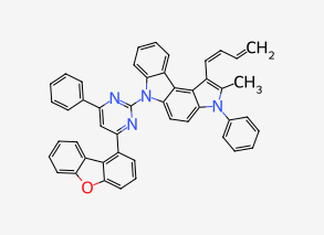 C=C/C=C\c1c(C)n(-c2ccccc2)c2ccc3c(c4ccccc4n3-c3nc(-c4ccccc4)cc(-c4cccc5oc6ccccc6c45)n3)c12